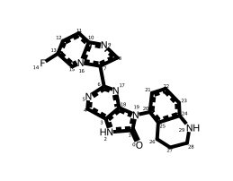 O=c1[nH]c2cnc(-c3cnc4ccc(F)cn34)nc2n1-c1cccc2c1CCCN2